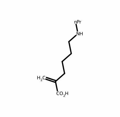 C=C(CCCCNCCC)C(=O)O